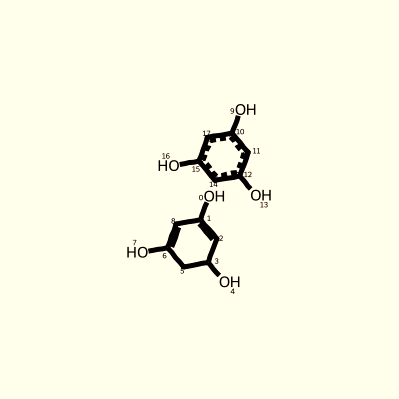 OC1=CC(O)CC(O)=C1.Oc1cc(O)cc(O)c1